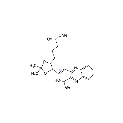 CCCC(O)c1nc2ccccc2nc1/C=C/C1OC(C)(C)OC1CCCC(=O)OC